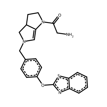 NCC(=O)N1CCC2CN(Cc3ccc(Oc4nc5ccccc5s4)cc3)C=C21